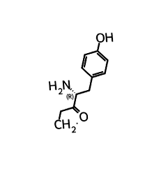 [CH2]CC(=O)[C@H](N)Cc1ccc(O)cc1